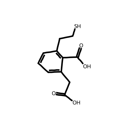 O=C(O)Cc1cccc(CCS)c1C(=O)O